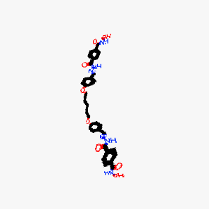 O=C(NO)c1ccc(C(=O)N/N=C/c2ccc(OCCCCCOc3ccc(/C=N/NC(=O)c4ccc(C(=O)NO)cc4)cc3)cc2)cc1